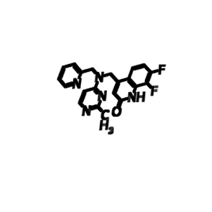 Cc1nccc(N(Cc2ccccn2)Cc2cc(=O)[nH]c3c(F)c(F)ccc23)n1